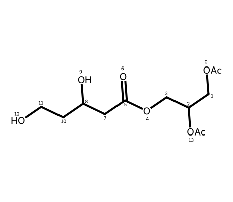 CC(=O)OCC(COC(=O)CC(O)CCO)OC(C)=O